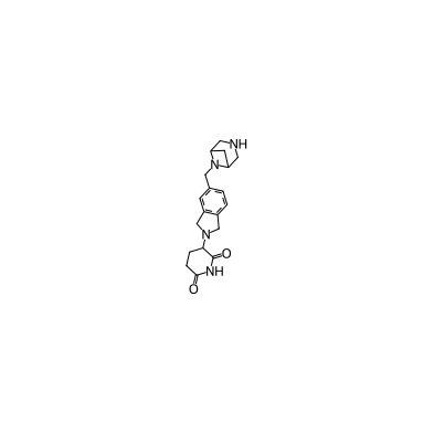 O=C1CCC(N2Cc3ccc(CN4C5CNCC4C5)cc3C2)C(=O)N1